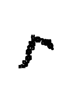 CCCCOC(=O)Cc1ccc(-c2ccc(/C=C3/SC(Nc4ccc(CC(=O)NS(=O)(=O)c5ccc(C)cc5)cc4)=NC3=O)cc2)cc1